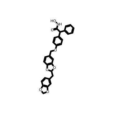 O=C(NO)C(c1ccccc1)c1ccc(OCc2ccc3c(c2)OC(Cc2ccc4c(c2)OCO4)O3)cc1